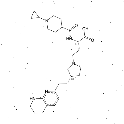 O=C(N[C@@H](CCN1CC[C@H](CCc2ccc3c(n2)NCCC3)C1)C(=O)O)C1CCN(C2CC2)CC1